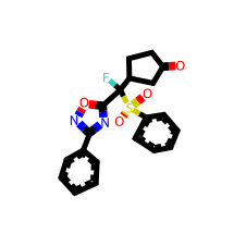 O=C1CCC(C(F)(c2nc(-c3ccccc3)no2)S(=O)(=O)c2ccccc2)C1